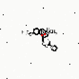 COc1ccc2c(c1)[C@]13CCN(C)[C@H](C2)[C@]1(O)C[C@H](CC(=O)N1CCCC1)C(=O)C3